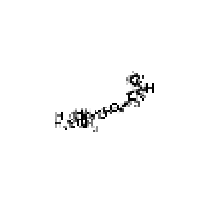 CC(C)(C)OC(=O)NCCOCCOCC#Cc1cnc2[nH]c3ccccc3c2c1